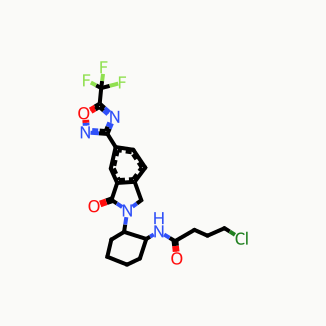 O=C(CCCCl)NC1CCCCC1N1Cc2ccc(-c3noc(C(F)(F)F)n3)cc2C1=O